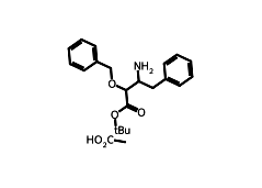 CC(=O)O.CC(C)(C)OC(=O)C(OCc1ccccc1)C(N)Cc1ccccc1